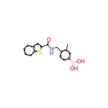 Cc1cc(B(O)O)ccc1CNC(=O)c1cc2ccccc2s1